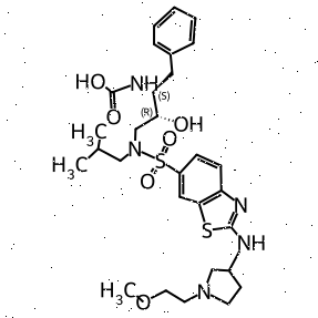 COCCN1CCC(Nc2nc3ccc(S(=O)(=O)N(CC(C)C)C[C@@H](O)[C@H](Cc4ccccc4)NC(=O)O)cc3s2)C1